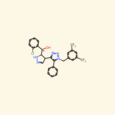 O[C@H](c1ccccc1Cl)C1NN=CC1c1nnn(Cc2cc(C(F)(F)F)cc(C(F)(F)F)c2)c1-c1ccccc1